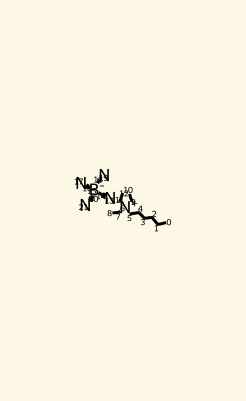 CCCCCC[N+](CC)(CC)CC.N#C[B-](C#N)(C#N)C#N